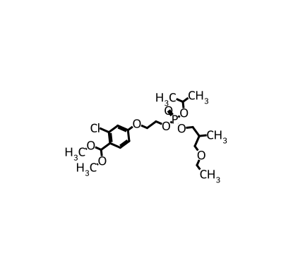 CCOCC(C)COP(=O)(OCCOc1ccc(C(OC)OC)c(Cl)c1)OC(C)C